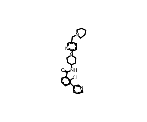 O=C(NC1CCN(c2ccc(CN3CCCCC3)cn2)CC1)c1cccc(-c2cccnc2)c1Cl